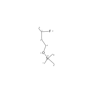 CC(F)CCO[Si](C)(C)C